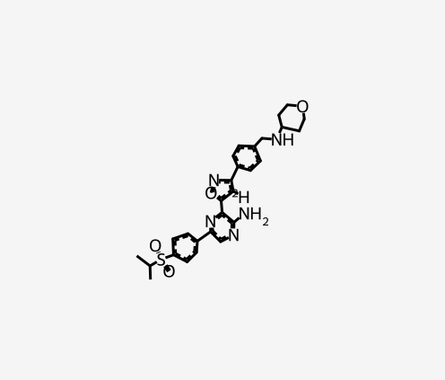 [2H]c1c(-c2ccc(CNC3CCOCC3)cc2)noc1-c1nc(-c2ccc(S(=O)(=O)C(C)C)cc2)cnc1N